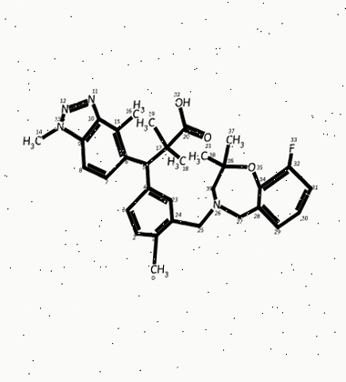 Cc1ccc(C(c2ccc3c(nnn3C)c2C)C(C)(C)C(=O)O)cc1CN1Cc2cccc(F)c2OC(C)(C)C1